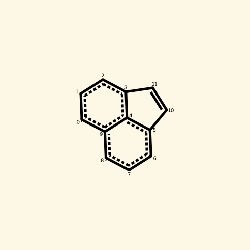 [c]1ccc2c3c(cc[c]c13)C=C2